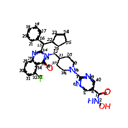 O=C(NO)c1cnc(N2CCC(Cn3c(C(c4ccccc4)C4CCCC4)nc4cccc(F)c4c3=O)CC2)nc1